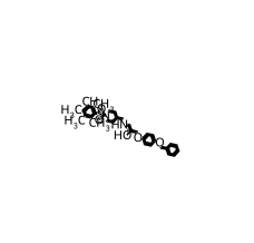 Cc1c(C)c(C)c(S(=O)(=O)N2CCC(CNC[C@H](O)COc3ccc(OCc4ccccc4)cc3)CC2)c(C)c1C